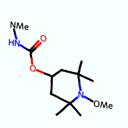 CNNC(=O)OC1CC(C)(C)N(OC)C(C)(C)C1